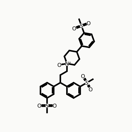 CS(=O)(=O)c1cccc(C2CC[N+]([O-])(CCC(c3cccc(S(C)(=O)=O)c3)c3cccc(S(C)(=O)=O)c3)CC2)c1